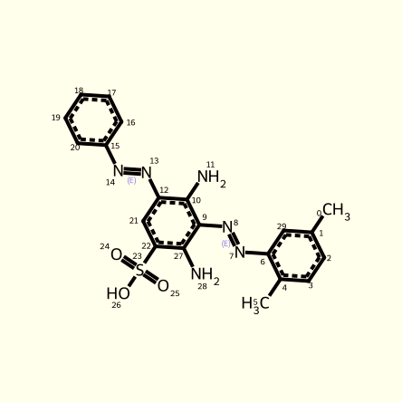 Cc1ccc(C)c(/N=N/c2c(N)c(/N=N/c3ccccc3)cc(S(=O)(=O)O)c2N)c1